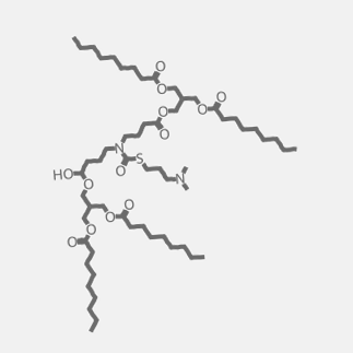 CCCCCCCCC(=O)OCC(COC(=O)CCCCCCCC)COC(=O)CCCN(CCCC(O)OCC(COC(=O)CCCCCCCC)COC(=O)CCCCCCCC)C(=O)SCCCN(C)C